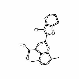 Cc1ccc(C)c2c(C(=O)O)cc(-c3oc4ccccc4c3Cl)nc12